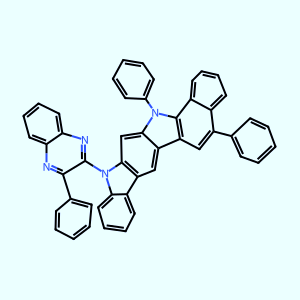 c1ccc(-c2nc3ccccc3nc2-n2c3ccccc3c3cc4c5cc(-c6ccccc6)c6ccccc6c5n(-c5ccccc5)c4cc32)cc1